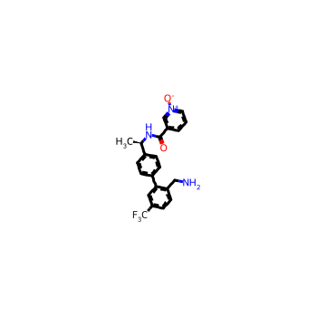 C[C@@H](NC(=O)c1ccc[n+]([O-])c1)c1ccc(-c2cc(C(F)(F)F)ccc2CN)cc1